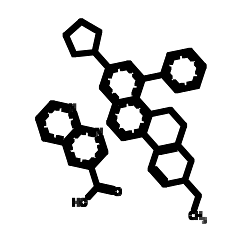 CCC1C=CC2=C(CCc3c2ccc2cc(C4CCCC4)cc(-c4ccccc4)c32)C1.O=C(O)c1cnc2ncccc2c1